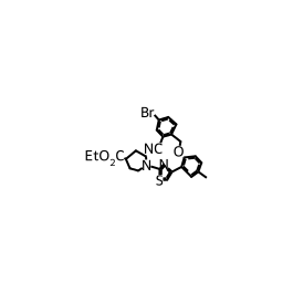 CCOC(=O)C1CCN(c2nc(-c3cc(C)ccc3OCc3ccc(Br)cc3C#N)cs2)CC1